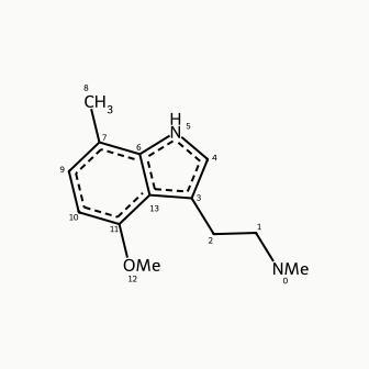 CNCCc1c[nH]c2c(C)ccc(OC)c12